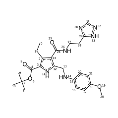 CCc1c(C(=O)OC(C)(C)C)[nH]c(CNc2ccc(OC)cc2)c1C(=O)NCCc1ncn[nH]1